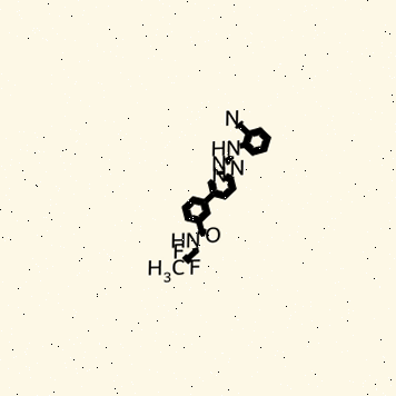 CC(F)(F)CNC(=O)c1cccc(-c2ccc3nc(Nc4ccccc4C#N)nn3c2)c1